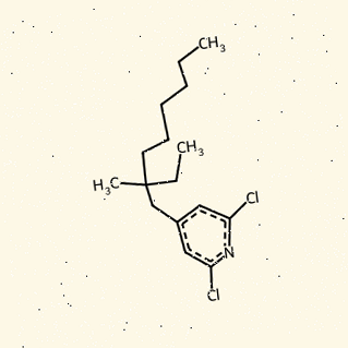 CCCCCCC(C)(CC)Cc1cc(Cl)nc(Cl)c1